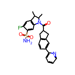 CC1c2cc(F)c(S(N)(=O)=O)cc2N(C(=O)C2Cc3ccc(-c4ccccn4)cc3C2)C1C